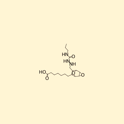 CCCNC(=O)NNCC1C(CCCCCCC(=O)O)C2OC1C1OC21